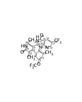 Cc1cc(OC(F)(F)F)ccc1N1c2ncc(C(F)(F)F)cc2C(=O)NC1c1cc(C)c(=O)[nH]c1C